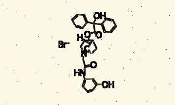 O=C(C[N+]12CCC(CC1)[C@@H](OC(=O)C(O)(c1ccccc1)c1ccccc1)C2)Nc1cccc(O)c1.[Br-]